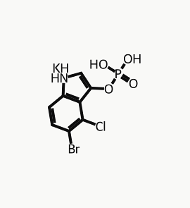 O=P(O)(O)Oc1c[nH]c2ccc(Br)c(Cl)c12.[KH]